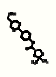 CCCCCCCCCCCc1cnc(-c2ccc(OC(=O)[C@H]3COC(C)(C)O3)cc2)nc1